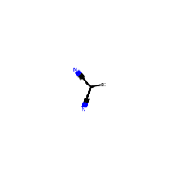 N#CC([Si])C#N